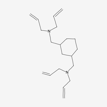 C=CCN(CC=C)CC1CCCC(CN(CC=C)CC=C)C1